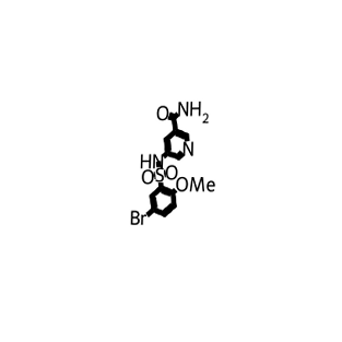 COc1ccc(Br)cc1S(=O)(=O)Nc1cncc(C(N)=O)c1